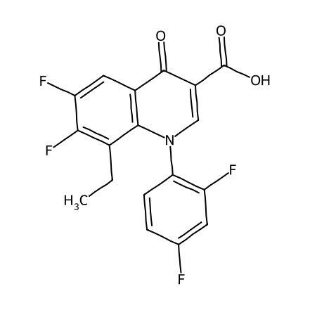 CCc1c(F)c(F)cc2c(=O)c(C(=O)O)cn(-c3ccc(F)cc3F)c12